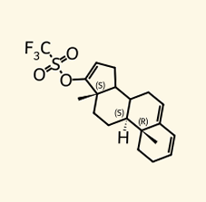 C[C@]12CCC=CC1=CCC1C3CC=C(OS(=O)(=O)C(F)(F)F)[C@@]3(C)CC[C@@H]12